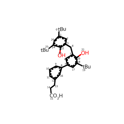 CC(C)(C)c1cc(Cc2cc(-c3cccc(CCC(=O)O)c3)cc(C(C)(C)C)c2O)c(O)c(C(C)(C)C)c1